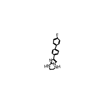 Fc1ccc(-c2ccc(-c3cn4c(n3)NCCN4)cc2)cc1